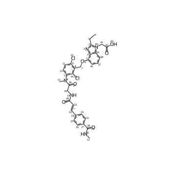 CCc1nc2c(OCc3c(Cl)ccc(N(C)C(=O)CNC(=O)/C=C/c4ccc(C(=O)NC)cc4)c3Cl)cccc2n1CC(=O)O